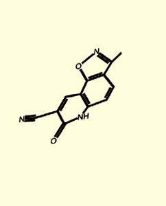 Cc1noc2c1ccc1[nH]c(=O)c(C#N)cc12